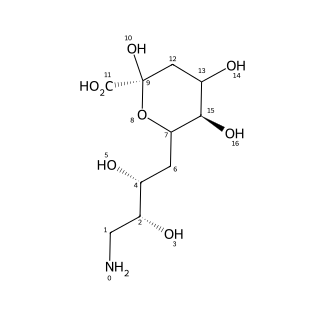 NC[C@@H](O)[C@H](O)CC1O[C@](O)(C(=O)O)CC(O)[C@H]1O